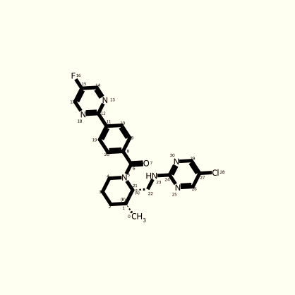 C[C@@H]1CCCN(C(=O)c2ccc(-c3ncc(F)cn3)cc2)[C@@H]1CNc1ncc(Cl)cn1